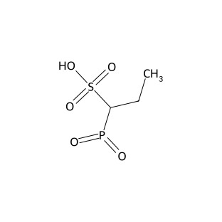 CCC(P(=O)=O)S(=O)(=O)O